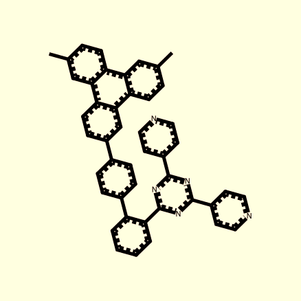 Cc1ccc2c(c1)c1ccc(C)cc1c1ccc(-c3ccc(-c4ccccc4-c4nc(-c5ccncc5)nc(-c5ccncc5)n4)cc3)cc21